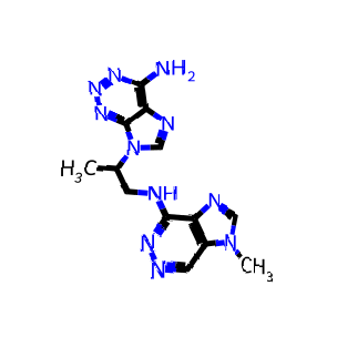 CC(CNc1nncc2c1ncn2C)n1cnc2c(N)nnnc21